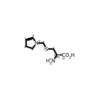 N[C@@H](CSCN1C=CCC1)C(=O)O